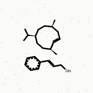 CC(C)[C@H]1CC[C@@H](C)C/C=C/[C@@H](C)CC1.OC/C=C/c1ccccc1